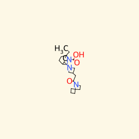 CCC12CCC(CN1C(=O)O)C(N1CC(CC(=O)N3CCC34CCC4)C1)C2